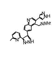 CNCc1c(-c2cn[nH]c2)cnc2ccc(-c3c[nH]nc3-c3cccc(C)n3)cc12